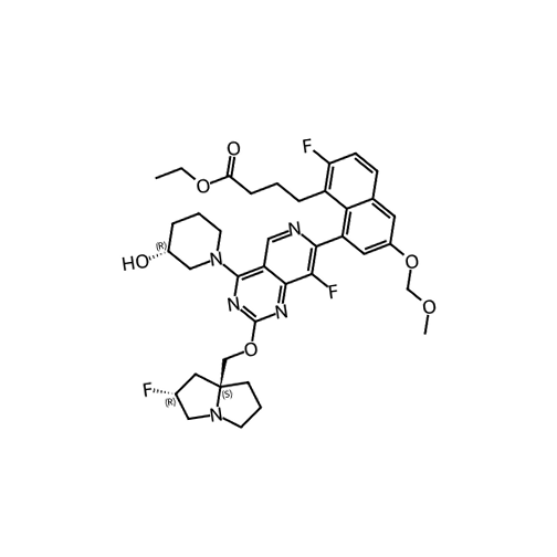 CCOC(=O)CCCc1c(F)ccc2cc(OCOC)cc(-c3ncc4c(N5CCC[C@@H](O)C5)nc(OC[C@@]56CCCN5C[C@H](F)C6)nc4c3F)c12